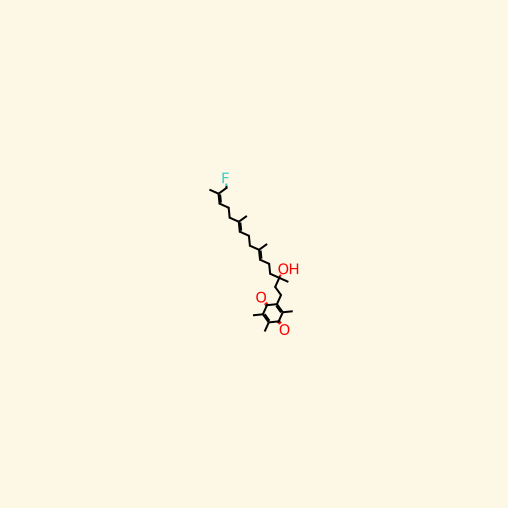 CC1=C(C)C(=O)C(CCC(C)(O)CC/C=C(\C)CC/C=C(\C)CC/C=C(/C)CF)=C(C)C1=O